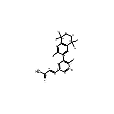 Cc1cc2c(cc1-c1cc(C=CC(=O)O)cnc1C)C(C)(C)CCC2(C)C